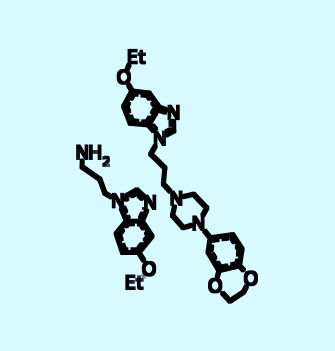 CCOc1ccc2c(c1)ncn2CCCN.CCOc1ccc2c(c1)ncn2CCCN1CCN(c2ccc3c(c2)OCCO3)CC1